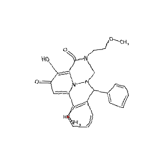 CNCc1cc(=O)c(O)c2n1N(C(c1ccccc1)c1ccccc1)CN(CCOC)C2=O